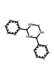 c1ccc(C2NCNC(c3ccccc3)N2)cc1